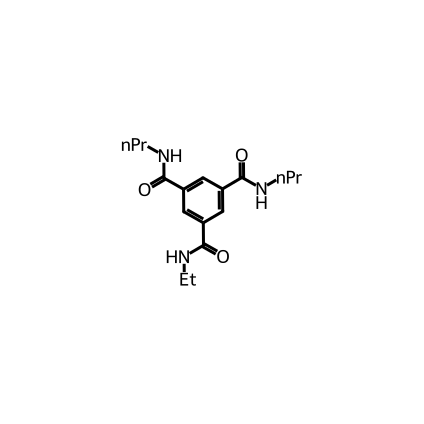 CCCNC(=O)c1cc(C(=O)NCC)cc(C(=O)NCCC)c1